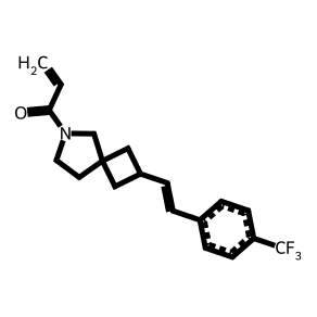 C=CC(=O)N1CCC2(CC(/C=C/c3ccc(C(F)(F)F)cc3)C2)C1